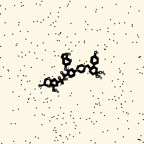 CC[C@H]1COc2cc(S(=O)(=O)NC(=O)c3ccc(N4CCN(CC5=C(c6ccc(Cl)cc6)CC(C)(C)CC5)CC4)cc3Oc3cnc4[nH]ccc4c3)cc([N+](=O)[O-])c2N1